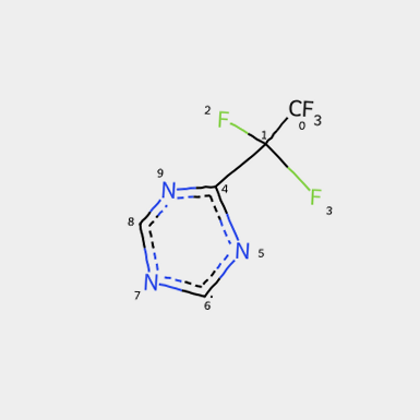 FC(F)(F)C(F)(F)c1n[c]ncn1